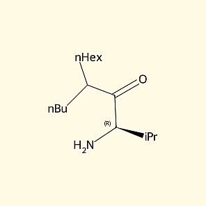 CCCCCCC(CCCC)C(=O)[C@H](N)C(C)C